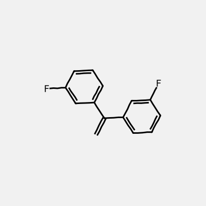 C=C(c1cccc(F)c1)c1cccc(F)c1